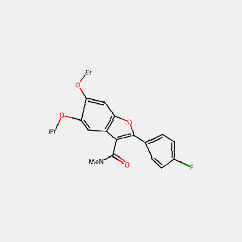 CCOc1cc2oc(-c3ccc(F)cc3)c(C(=O)NC)c2cc1OC(C)C